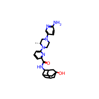 C[C@@H]1CN(c2ccc(N)nc2)CCN1c1cccc(C(=O)NC2C3CC4CC2CC(O)(C4)C3)n1